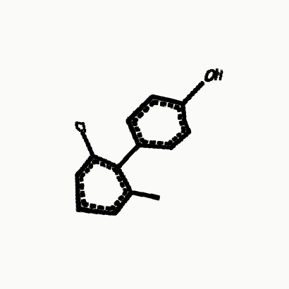 Cc1cccc(Cl)c1-c1ccc(O)cc1